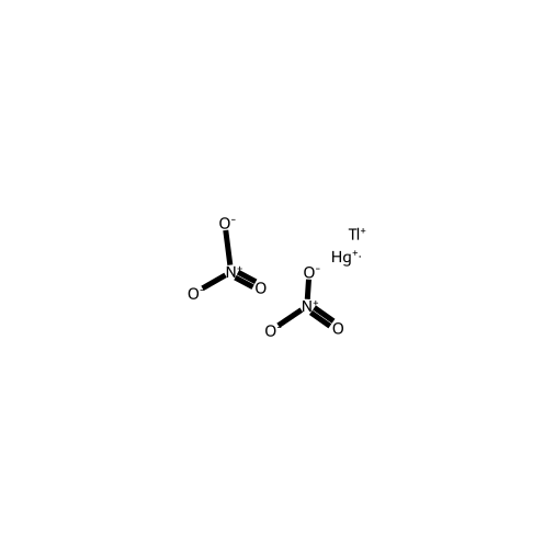 O=[N+]([O-])[O-].O=[N+]([O-])[O-].[Hg+].[Tl+]